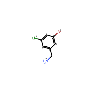 NCc1cc(Cl)cc(Br)c1